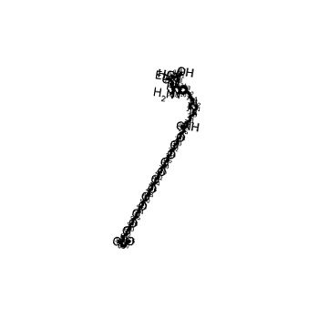 CCOCc1nc2c(N)nc3cc(CCCN4CCN(CCCCNC(=O)CCOCCOCCOCCOCCOCCOCCOCCOCCOCCOCCOCCOCCN5C(=O)C=CC5=O)CC4)ccc3c2n1CC(C)(CO)CO